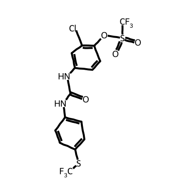 O=C(Nc1ccc(SC(F)(F)F)cc1)Nc1ccc(OS(=O)(=O)C(F)(F)F)c(Cl)c1